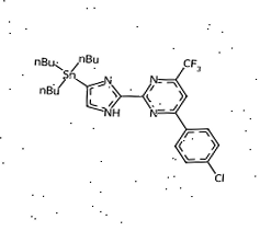 CCC[CH2][Sn]([CH2]CCC)([CH2]CCC)[c]1c[nH]c(-c2nc(-c3ccc(Cl)cc3)cc(C(F)(F)F)n2)n1